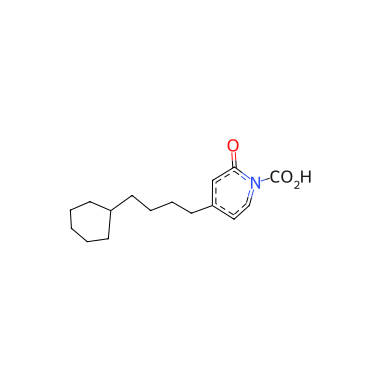 O=C(O)n1ccc(CCCCC2CCCCC2)cc1=O